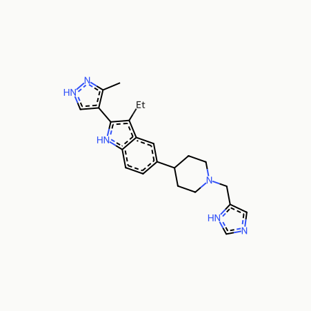 CCc1c(-c2c[nH]nc2C)[nH]c2ccc(C3CCN(Cc4cnc[nH]4)CC3)cc12